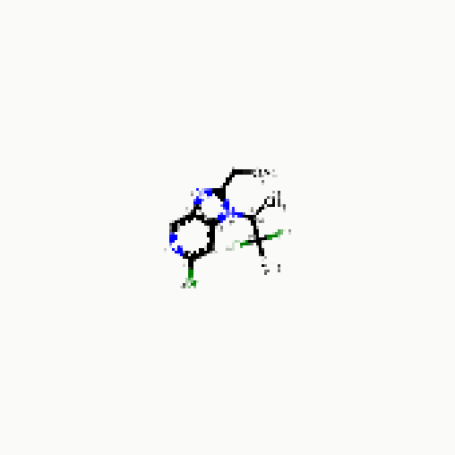 CC(=O)OCc1nc2cnc(Br)cc2n1[C@@H](C)C(C)(F)F